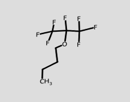 CCCCOC(F)(C(F)(F)F)C(F)(F)F